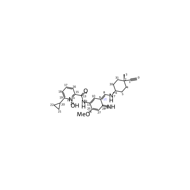 C#C[C@]1(C)CC[C@@H](N/C=C2/C=C(NC(=O)c3cccc(C4CC4)[n+]3O)C(OC)=CC2=N)CC1